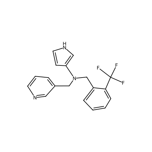 FC(F)(F)c1ccccc1CN(Cc1cccnc1)c1cc[nH]c1